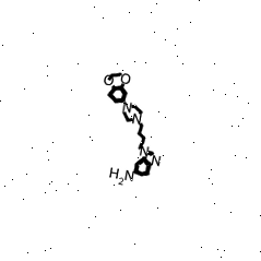 Nc1ccc2ncn(CCCCN3CCN(c4ccc5c(c4)OCCO5)CC3)c2c1